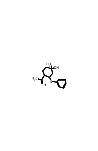 C=C(C)C1CCC(C)(O)CC1Sc1ccccc1